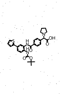 CC(C)(C)OC(=O)Nc1ccc(-c2cccs2)cc1NC(=O)c1ccc(C(C(=O)O)N2CCCC2)cc1